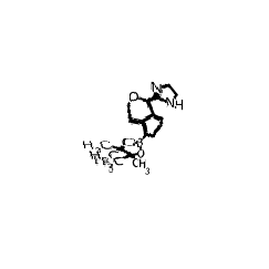 CC1(C)OB(c2cccc3c2CCOC3C2=NCCN2)OC1(C)C